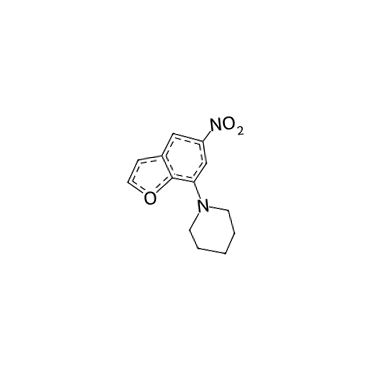 O=[N+]([O-])c1cc(N2CCCCC2)c2occc2c1